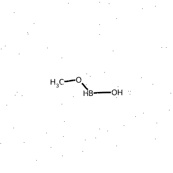 COBO